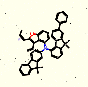 C=Cc1c(/C=C\C)oc2cccc(N(c3ccc4c(c3)C(C)(C)c3ccccc3-4)c3cccc4c3-c3ccc(-c5ccccc5)cc3C4(C)C)c12